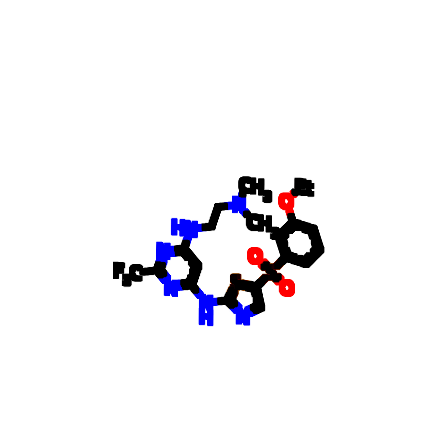 CCOc1cccc(S(=O)(=O)c2cnc(Nc3cc(NCCN(C)C)nc(C(F)(F)F)n3)s2)c1